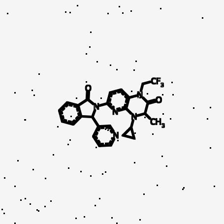 CC1C(=O)N(CC(F)(F)F)c2ccc(N3C(=O)c4ccccc4C3c3cccnc3)nc2N1C1CC1